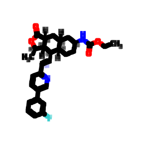 CCOC(=O)N[C@H]1CC[C@@H]2[C@@H](C1)C[C@@H]1C(=O)O[C@H](C)[C@H]1[C@@H]2/C=C/c1ccc(-c2cccc(F)c2)cn1